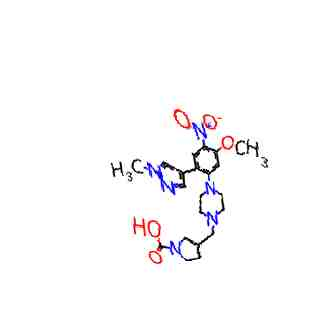 COc1cc(N2CCN(CC3CCN(C(=O)O)C3)CC2)c(-c2cnn(C)c2)cc1[N+](=O)[O-]